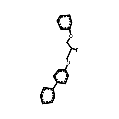 FC(COc1ccccc1)COc1ccc(-c2ccccc2)cc1